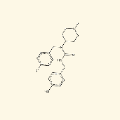 CN1CCC(N(Cc2ccc(F)cc2)C(=O)NCc2ccc(O)cc2)CC1